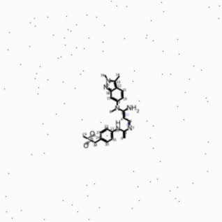 C=C(/N=C\C=C(/N)N(C)c1ccc2c(C)n(C)nc2c1)Nc1ccc(CS(C)(=O)=O)cc1